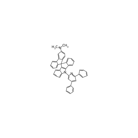 CN(C)c1ccc2c(c1)-c1ccccc1C21c2ccccc2-c2c1c1ccccc1n2-c1cc(-c2ccccc2)cc(-c2ccccc2)n1